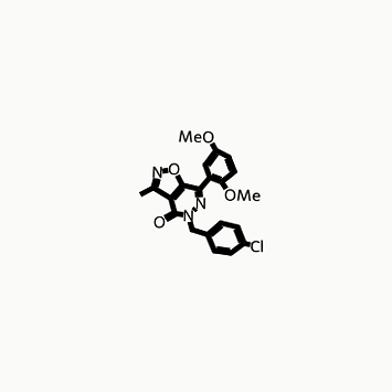 COc1ccc(OC)c(-c2nn(Cc3ccc(Cl)cc3)c(=O)c3c(C)noc23)c1